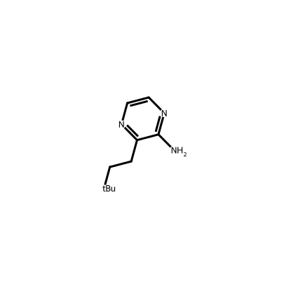 CC(C)(C)CCc1nccnc1N